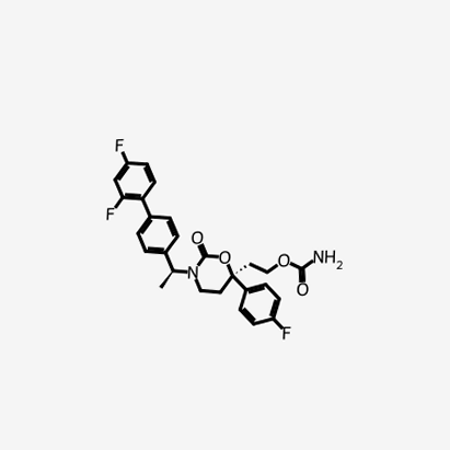 C[C@@H](c1ccc(-c2ccc(F)cc2F)cc1)N1CC[C@](CCOC(N)=O)(c2ccc(F)cc2)OC1=O